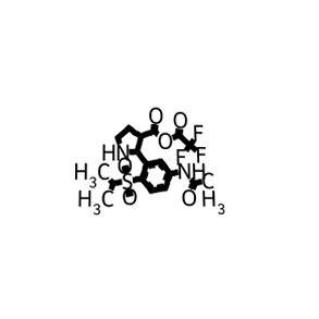 CC(=O)Nc1ccc(S(=O)(=O)C(C)C)c(C2NCCC2C(=O)OC(=O)C(F)(F)F)c1